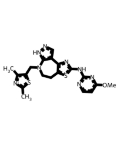 COc1ccnc(Nc2nc3c(s2)CCN(Cc2sc(C)nc2C)c2[nH]ncc2-3)n1